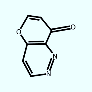 O=c1ccoc2ccnnc12